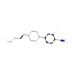 N#Cc1ccc(C2CCC(/C=C/CCF)CC2)cc1F